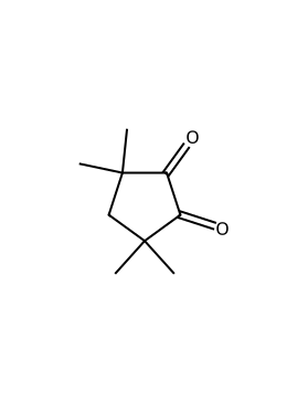 CC1(C)CC(C)(C)C(=O)C1=O